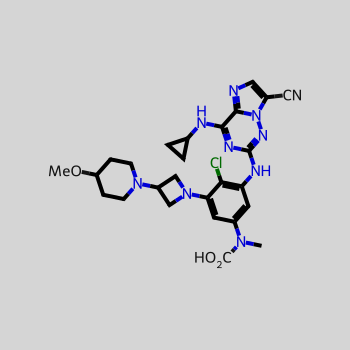 COC1CCN(C2CN(c3cc(N(C)C(=O)O)cc(Nc4nc(NC5CC5)c5ncc(C#N)n5n4)c3Cl)C2)CC1